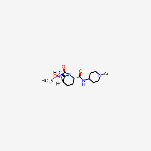 C=C1[C@H]2CC[C@@H](C(=O)NC3CCN(C(C)=O)CC3)N1C(=O)N2OS(=O)(=O)O